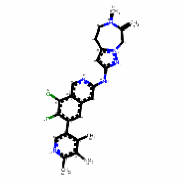 C=C1Cn2nc(Nc3cc4cc(-c5cnc(C)c([N+](=O)[O-])c5C)c(F)c(Cl)c4cn3)cc2CCN1C